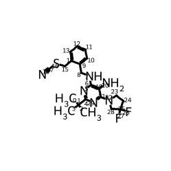 CC(C)(C)c1nc(NCc2ccccc2CSC#N)c(N)c(N2CCC(F)(F)C2)n1